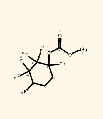 CC(C)(C)OC(=O)OC1(F)CC[C](F)C(F)(F)C1(F)F